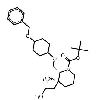 CC(C)(C)OC(=O)N1CCC[C@@](N)(CCO)[C@@H]1COC1CCC(OCc2ccccc2)CC1